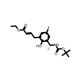 CCOC(=O)/C=C/Cc1cc(F)cc([C@@H](C)NC(=O)OC(C)(C)C)c1O